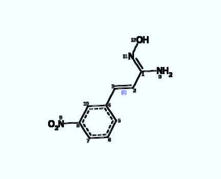 NC(/C=C/c1cccc([N+](=O)[O-])c1)=NO